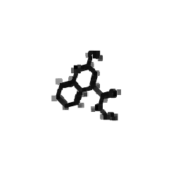 CCCCOC(=O)c1cc(C)nc2ccccc12